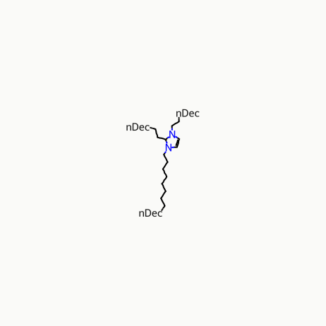 CCCCCCCCCCCCCCCCCCN1C=CN(CCCCCCCCCCCC)C1CCCCCCCCCCCC